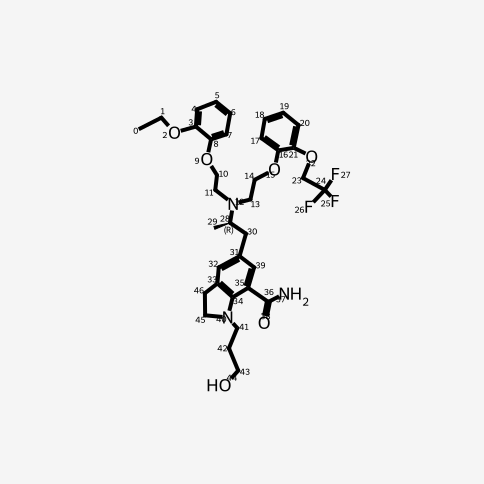 CCOc1ccccc1OCCN(CCOc1ccccc1OCC(F)(F)F)[C@H](C)Cc1cc2c(c(C(N)=O)c1)N(CCCO)CC2